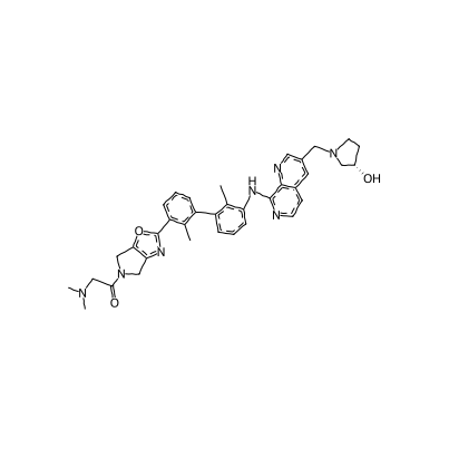 Cc1c(Nc2nccc3cc(CN4CC[C@H](O)C4)cnc23)cccc1-c1cccc(-c2nc3c(o2)CN(C(=O)CN(C)C)C3)c1C